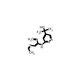 C=N/C(=C\N=C/C)Nc1cc(C(O)(C(F)(F)F)C(F)(F)F)cnn1